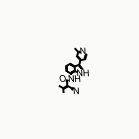 CC(C)=C(C#N)C(=O)Nc1cccc2c(-c3ccnc(C)c3)c[nH]c12